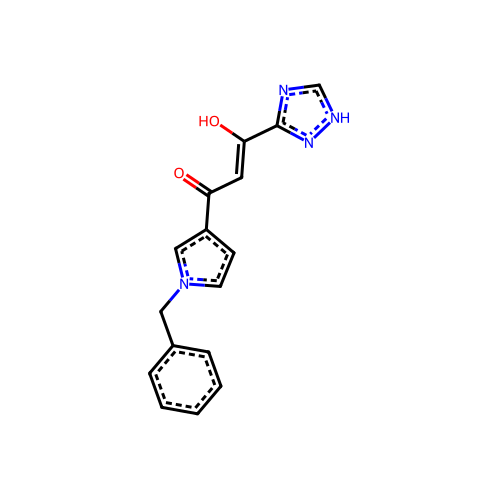 O=C(C=C(O)c1nc[nH]n1)c1ccn(Cc2ccccc2)c1